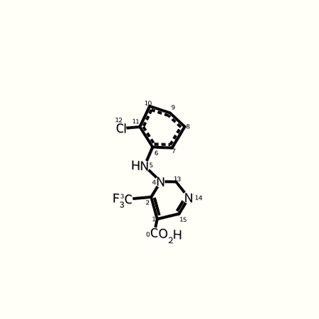 O=C(O)C1=C(C(F)(F)F)N(Nc2ccccc2Cl)CN=C1